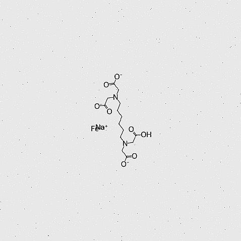 O=C([O-])CN(CCCCCCN(CC(=O)[O-])CC(=O)O)CC(=O)[O-].[Fe+2].[Na+]